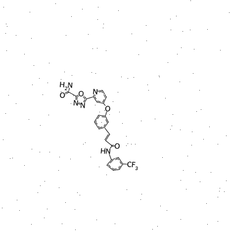 NC(=O)c1nnc(-c2cc(Oc3cccc(/C=C/C(=O)Nc4cccc(C(F)(F)F)c4)c3)ccn2)o1